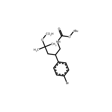 CC(C)(C)OC(=O)NCC(CC(C)(C)OC(=O)O)c1ccc(Br)cc1